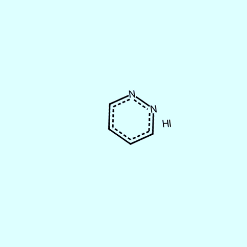 I.c1ccnnc1